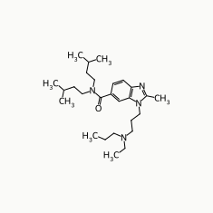 CCCN(CC)CCCn1c(C)nc2ccc(C(=O)N(CCC(C)C)CCC(C)C)cc21